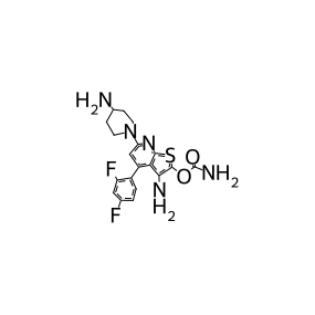 NC(=O)Oc1sc2nc(N3CCC(N)CC3)cc(-c3ccc(F)cc3F)c2c1N